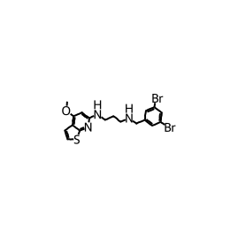 COc1cc(NCCCNCc2cc(Br)cc(Br)c2)nc2sccc12